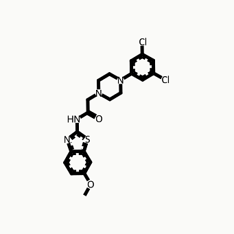 COc1ccc2nc(NC(=O)CN3CCN(c4cc(Cl)cc(Cl)c4)CC3)sc2c1